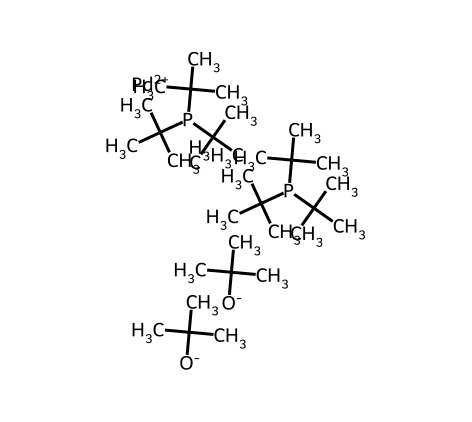 CC(C)(C)P(C(C)(C)C)C(C)(C)C.CC(C)(C)P(C(C)(C)C)C(C)(C)C.CC(C)(C)[O-].CC(C)(C)[O-].[Pd+2]